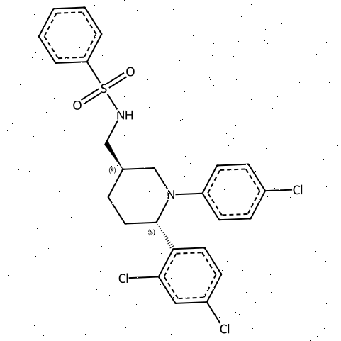 O=S(=O)(NC[C@@H]1CC[C@@H](c2ccc(Cl)cc2Cl)N(c2ccc(Cl)cc2)C1)c1ccccc1